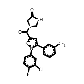 O=C1CN(C(=O)c2cc(-c3cccc(C(F)(F)F)c3)n(-c3ccc(F)c(Cl)c3)n2)CN1